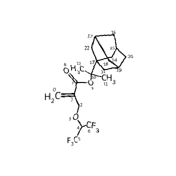 C=C(COC(C(F)(F)F)C(F)(F)F)C(=O)OC(C)(C)C12CC3CC(CC(C3)C1)C2